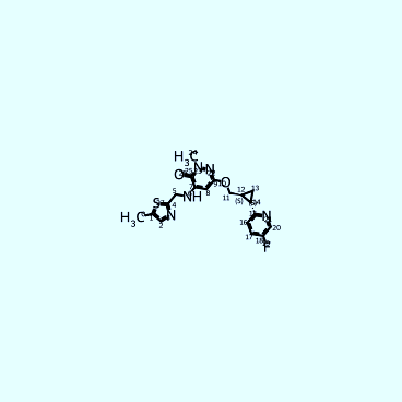 Cc1cnc(CNc2cc(OC[C@H]3C[C@@H]3c3ccc(F)cn3)nn(C)c2=O)s1